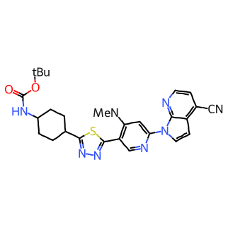 CNc1cc(-n2ccc3c(C#N)ccnc32)ncc1-c1nnc(C2CCC(NC(=O)OC(C)(C)C)CC2)s1